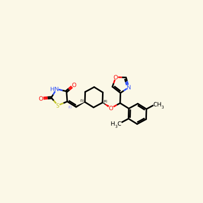 Cc1ccc(C)c(C(O[C@@H]2CCC[C@H](/C=C3/SC(=O)NC3=O)C2)c2cocn2)c1